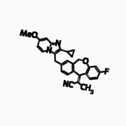 COc1ccn2c(Cc3ccc4c(c3)COc3cc(F)ccc3C4=C(C)C#N)c(C3CC3)nc2c1